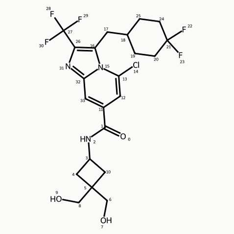 O=C(NC1CC(CO)(CO)C1)c1cc(Cl)n2c(CC3CCC(F)(F)CC3)c(C(F)(F)F)nc2c1